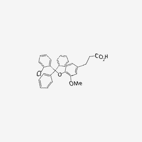 COc1cc(CCC(=O)O)ccc1OC(c1ccccc1)(c1ccccc1)c1ccccc1Cl